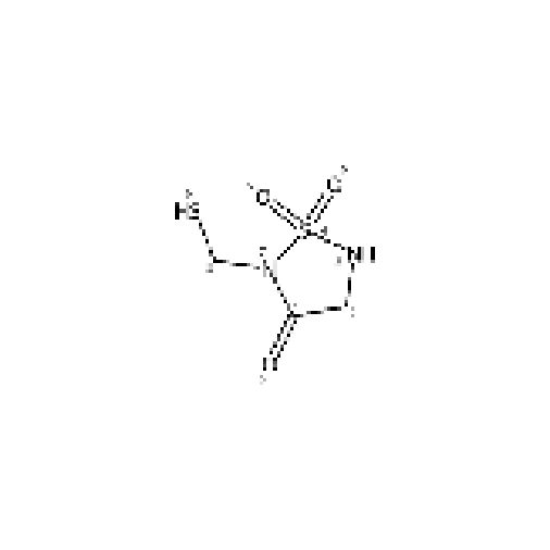 O=C1CNS(=O)(=O)N1CS